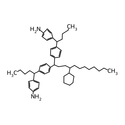 CCCCCCCCC(CCC(c1ccc(C(CCCC)c2ccc(N)cc2)cc1)c1ccc(C(CCCC)c2ccc(N)cc2)cc1)C1CCCCC1